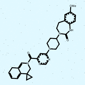 COc1ccc2c(c1)CCN(C1CCN(c3cc(C(=O)N4C=C5CC=CC=C5C5(CC5)C4)ncn3)CC1)C(=O)N2